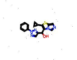 OC(c1cnn(-c2ccccc2)n1)c1c(C2CC2)sc2cncn12